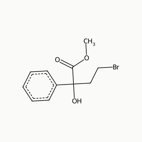 COC(=O)C(O)(CCBr)c1ccccc1